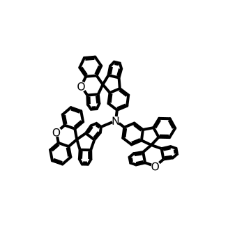 c1ccc2c(c1)Oc1ccccc1C21c2ccccc2-c2cc(N(c3ccc4c(c3)-c3ccccc3C43c4ccccc4Oc4ccccc43)c3ccc4c(c3)C3(c5ccccc5Oc5ccccc53)c3ccccc3-4)ccc21